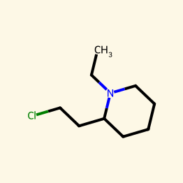 CCN1CCCCC1CCCl